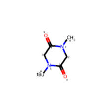 CN1CC(=O)N(C(C)(C)C)CC1=O